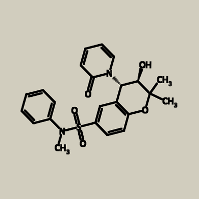 CN(c1ccccc1)S(=O)(=O)c1ccc2c(c1)[C@H](n1ccccc1=O)[C@@H](O)C(C)(C)O2